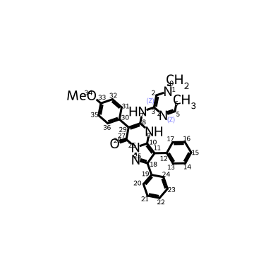 C=N/C=C(\N=C/C)Nc1[nH]c2c(-c3ccccc3)c(-c3ccccc3)nn2c(=O)c1-c1ccc(OC)cc1